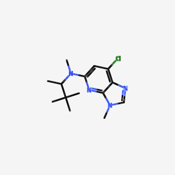 CC(N(C)c1cc(Cl)c2ncn(C)c2n1)C(C)(C)C